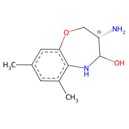 Cc1cc(C)c2c(c1)OC[C@H](N)C(O)N2